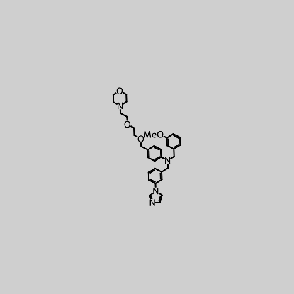 COc1cccc(CN(Cc2cccc(-n3ccnc3)c2)c2ccc(COCCOCCN3CCOCC3)cc2)c1